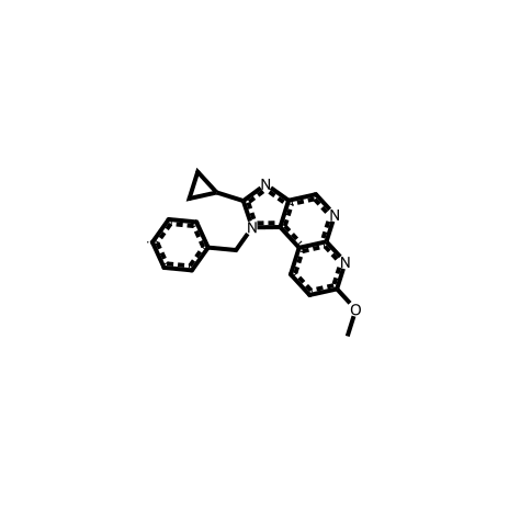 COc1ccc2c(ncc3nc(C4CC4)n(Cc4cc[c]cc4)c32)n1